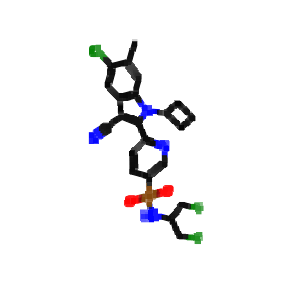 Cc1cc2c(cc1Cl)c(C#N)c(-c1ccc(S(=O)(=O)NC(CF)CF)cn1)n2C1CCC1